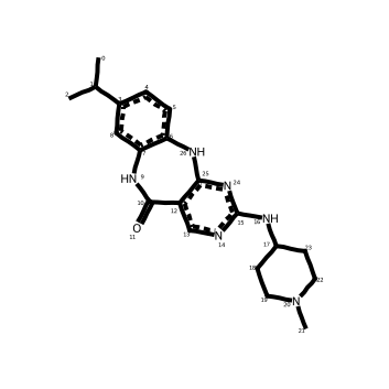 CC(C)c1ccc2c(c1)NC(=O)c1cnc(NC3CCN(C)CC3)nc1N2